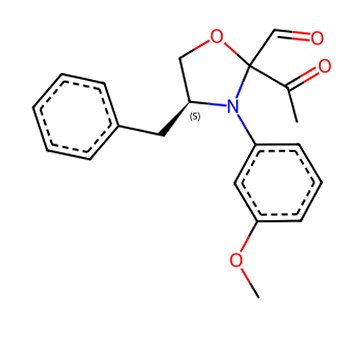 COc1cccc(N2[C@@H](Cc3ccccc3)COC2(C=O)C(C)=O)c1